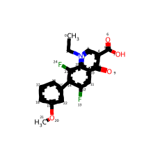 CCn1cc(C(=O)O)c(=O)c2cc(F)c(-c3cccc(OC)c3)c(F)c21